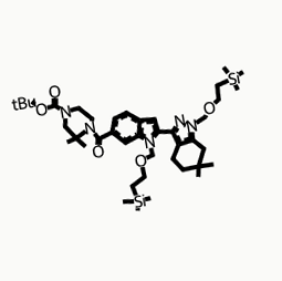 CC1(C)CCc2c(-c3cc4ccc(C(=O)N5CCN(C(=O)OC(C)(C)C)CC5(C)C)cc4n3COCC[Si](C)(C)C)nn(COCC[Si](C)(C)C)c2C1